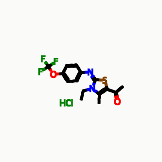 CCn1c(C)c(C(C)=O)sc1=Nc1ccc(OC(F)(F)F)cc1.Cl